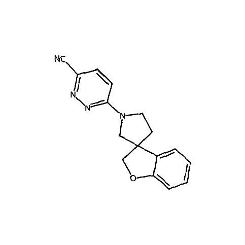 N#Cc1ccc(N2CCC3(COc4ccccc43)C2)nn1